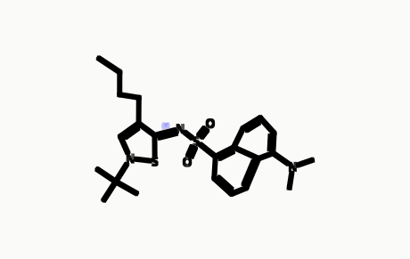 CCCCc1cn(C(C)(C)C)s/c1=N\S(=O)(=O)c1cccc2c(N(C)C)cccc12